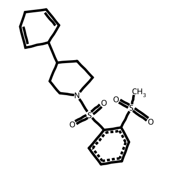 CS(=O)(=O)c1ccccc1S(=O)(=O)N1CCC(C2C=CCC=C2)CC1